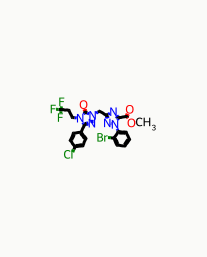 COC(=O)c1nc(Cn2nc(-c3ccc(Cl)cc3)n(CCC(F)(F)F)c2=O)nn1-c1ccccc1Br